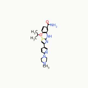 CC(C)Oc1ccc(C(N)=O)cc1Nc1nc(-c2ccc(N3CCN(C)CC3)nc2)cs1